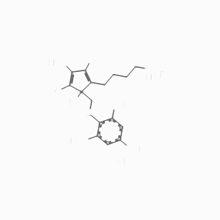 CCCCCC1=C(C)C(C)=C(C)[C]1([Ti+3])C[SiH2]c1c(C)cc(C)cc1C.[Cl-].[Cl-].[Cl-]